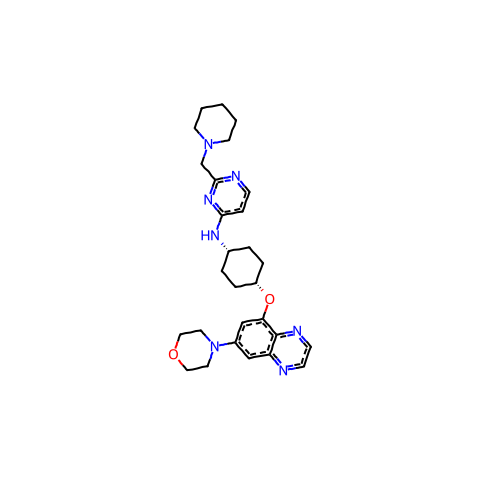 c1cc(N[C@H]2CC[C@@H](Oc3cc(N4CCOCC4)cc4nccnc34)CC2)nc(CN2CCCCC2)n1